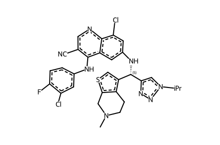 CC(C)n1cc([C@@H](Nc2cc(Cl)c3ncc(C#N)c(Nc4ccc(F)c(Cl)c4)c3c2)c2csc3c2CCN(C)C3)nn1